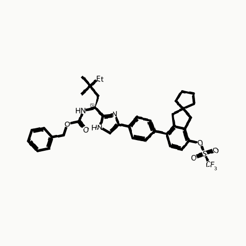 CCC(C)(C)C[C@H](NC(=O)OCc1ccccc1)c1nc(-c2ccc(-c3ccc(OS(=O)(=O)C(F)(F)F)c4c3CC3(CCCC3)C4)cc2)c[nH]1